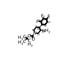 CC(C)(C)OC(=O)N1CC[C@@H](c2ccc(F)c(F)c2F)[C@H](N)C1